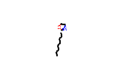 C1=NCCO1.CCCCCCCC